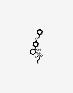 CCCS(=O)(=O)NC1CCCCC1(O)c1ccc(OCc2ccccc2)cc1